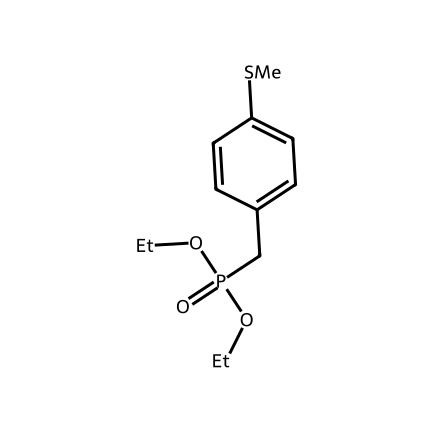 CCOP(=O)(Cc1ccc(SC)cc1)OCC